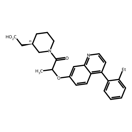 CCc1ccccc1-c1ccnc2cc(OC(C)C(=O)N3CCC[C@H](CC(=O)O)C3)ccc12